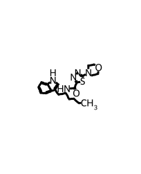 CCCCC(Cc1c[nH]c2ccccc12)NC(=O)c1nnc(N2CCOCC2)s1